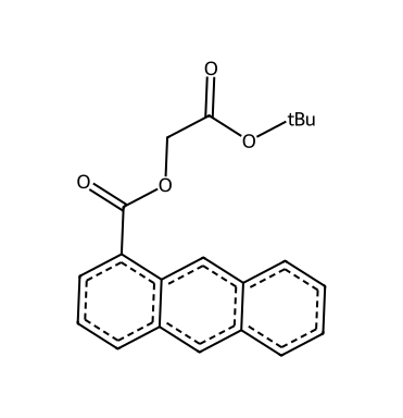 CC(C)(C)OC(=O)COC(=O)c1cccc2cc3ccccc3cc12